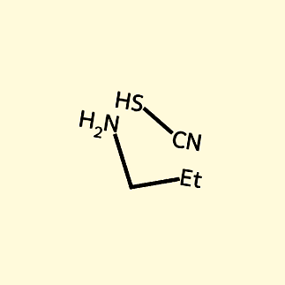 CCCN.N#CS